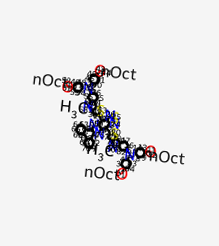 CCCCCCCCOc1ccc(N(c2ccc(OCCCCCCCC)cc2)c2ccc3c4sc(-c5c6nsnc6c(-c6cc7c(s6)c6ccc(N(c8ccc(OCCCCCCCC)cc8)c8ccc(OCCCCCCCC)cc8)cc6n7C)c6nc7c8ccccc8c8ccccc8c7nc56)cc4n(C)c3c2)cc1